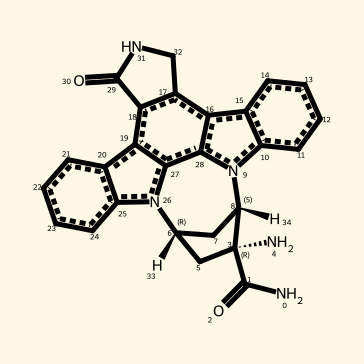 NC(=O)[C@@]1(N)C[C@H]2C[C@@H]1n1c3ccccc3c3c4c(c5c6ccccc6n2c5c31)C(=O)NC4